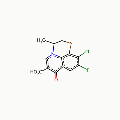 CC1CSc2c(Cl)c(F)cc3c(=O)c(C(=O)O)cn1c23